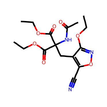 CCOC(=O)C(Cc1c(OCC)noc1C#N)(NC(C)=O)C(=O)OCC